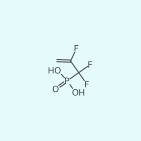 C=C(F)C(F)(F)P(=O)(O)O